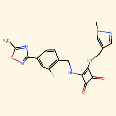 Cn1cc(CNc2c(NCc3ccc(-c4noc(C(F)(F)F)n4)cc3F)c(=O)c2=O)cn1